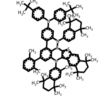 Cc1cc2c(cc1N1c3cc(-c4c(C)cccc4C)cc4c3B(c3sc5cc6c(cc5c31)C(C)(C)CCC6(C)C)N(c1ccc3c(c1)C(C)(C)CCC3(C)C)c1cc(N(c3ccc(C(C)(C)C)cc3)c3ccc(C(C)(C)C)cc3)ccc1-4)C(C)(C)CCC2(C)C